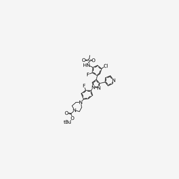 CC(C)(C)OC(=O)N1CCN(c2ccc(-n3cc(-c4cc(Cl)cc(NS(C)(=O)=O)c4F)c(-c4ccncc4)n3)c(F)c2)CC1